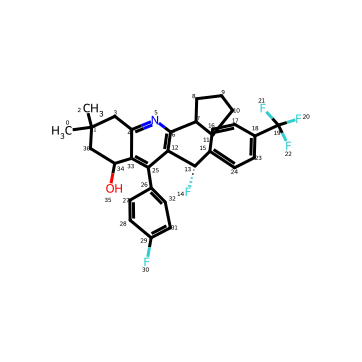 CC1(C)Cc2nc(C3CCCC3)c([C@@H](F)c3ccc(C(F)(F)F)cc3)c(-c3ccc(F)cc3)c2C(O)C1